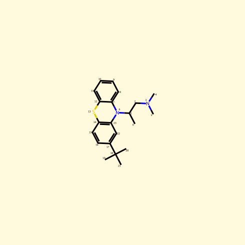 CC(CN(C)C)N1c2ccccc2Sc2ccc(C(C)(C)C)cc21